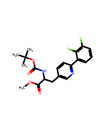 COC(=O)C(Cc1ccc(-c2cccc(F)c2F)nc1)NC(=O)OC(C)(C)C